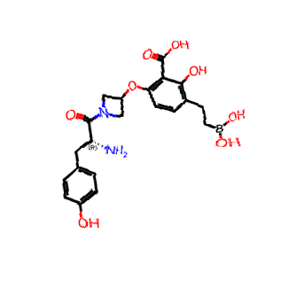 N[C@H](Cc1ccc(O)cc1)C(=O)N1CC(Oc2ccc(CCB(O)O)c(O)c2C(=O)O)C1